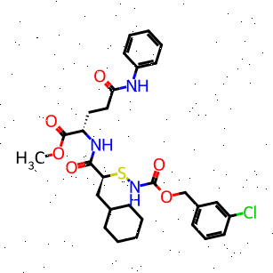 COC(=O)[C@H](CCC(=O)Nc1ccccc1)NC(=O)[C@H](CC1CCCCC1)SNC(=O)OCc1cccc(Cl)c1